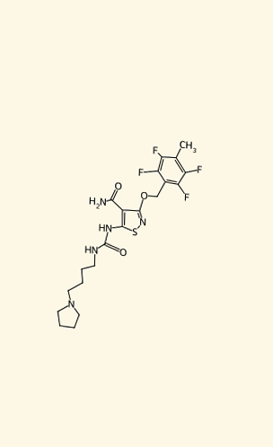 Cc1c(F)c(F)c(COc2nsc(NC(=O)NCCCCN3CCCC3)c2C(N)=O)c(F)c1F